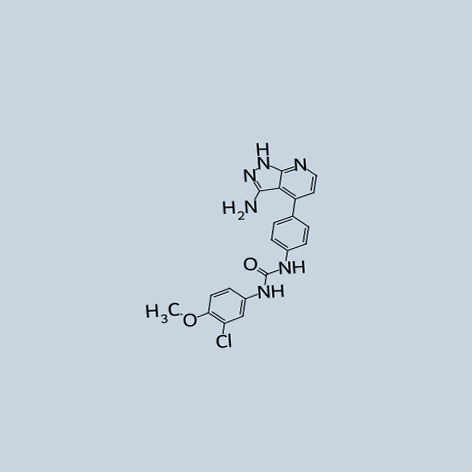 COc1ccc(NC(=O)Nc2ccc(-c3ccnc4[nH]nc(N)c34)cc2)cc1Cl